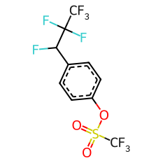 O=S(=O)(Oc1ccc(C(F)C(F)(F)C(F)(F)F)cc1)C(F)(F)F